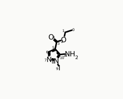 CCOC(=O)c1cnn(I)c1N